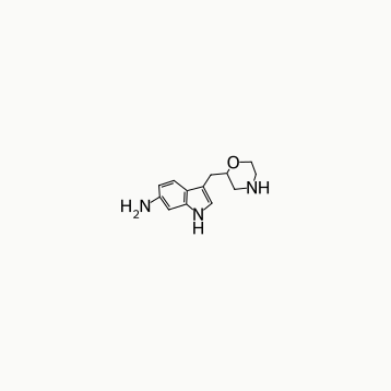 Nc1ccc2c(CC3CNCCO3)c[nH]c2c1